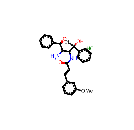 CCC(O)(c1ccccc1)C(NC(=O)C=Cc1cccc(OC)c1)C(N)C(=O)c1ccccc1.Cl